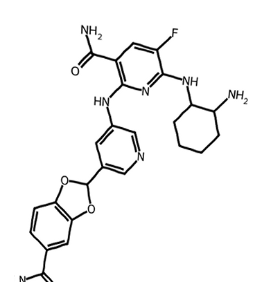 NC(=O)c1ccc2c(c1)OC(c1cncc(Nc3nc(NC4CCCCC4N)c(F)cc3C(N)=O)c1)O2